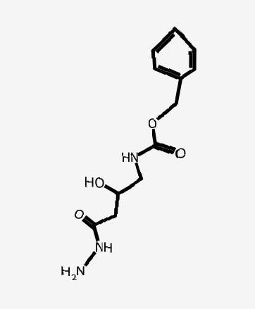 NNC(=O)CC(O)CNC(=O)OCc1ccccc1